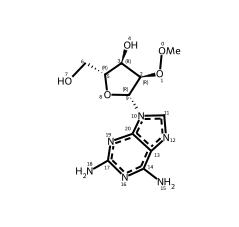 COO[C@@H]1[C@H](O)[C@@H](CO)O[C@H]1n1cnc2c(N)nc(N)nc21